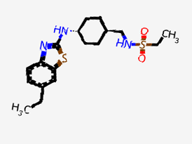 CCc1ccc2nc(N[C@H]3CC[C@H](CNS(=O)(=O)CC)CC3)sc2c1